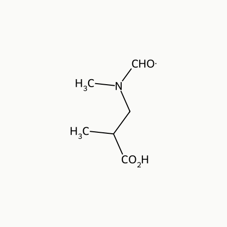 CC(CN(C)[C]=O)C(=O)O